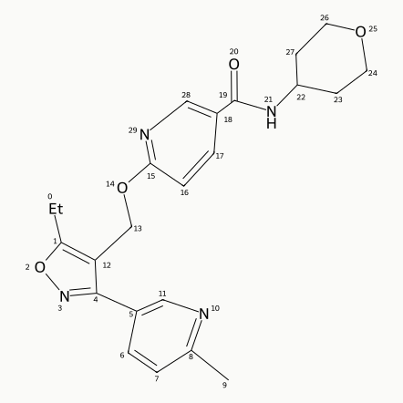 CCc1onc(-c2ccc(C)nc2)c1COc1ccc(C(=O)NC2CCOCC2)cn1